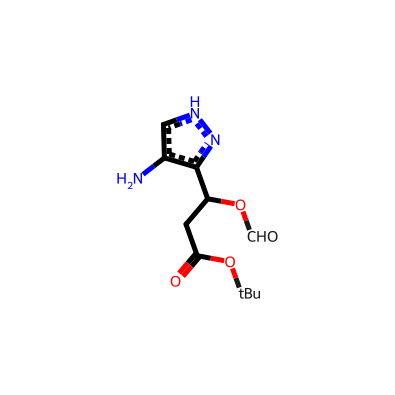 CC(C)(C)OC(=O)CC(OC=O)c1n[nH]cc1N